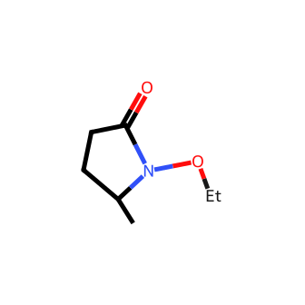 CCON1C(=O)CCC1C